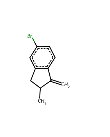 C=C1c2ccc(Br)cc2CC1C